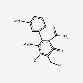 COc1cccc(-c2c(OC)[n+]([O-])c(CC(C)C)c(=O)n2C(N)=O)c1